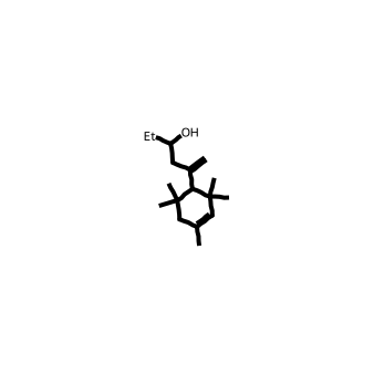 C=C(CC(O)CC)C1C(C)(C)C=C(C)CC1(C)C